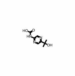 CC(C)(O)c1cnc(NC(=O)O)cn1